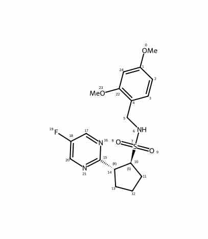 COc1ccc(CNS(=O)(=O)[C@H]2CCC[C@@H]2c2ncc(F)cn2)c(OC)c1